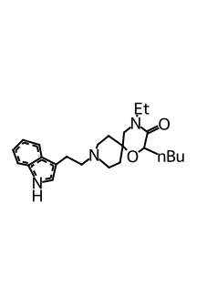 CCCCC1OC2(CCN(CCc3c[nH]c4ccccc34)CC2)CN(CC)C1=O